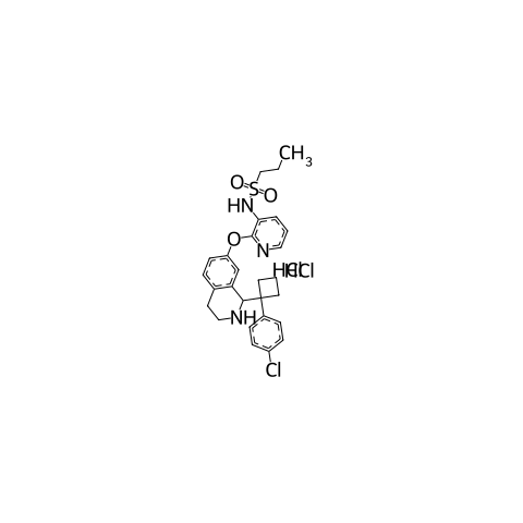 CCCS(=O)(=O)Nc1cccnc1Oc1ccc2c(c1)C(C1(c3ccc(Cl)cc3)CCC1)NCC2.Cl.Cl